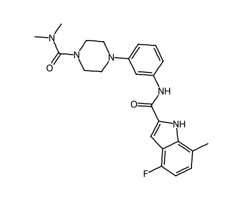 Cc1ccc(F)c2cc(C(=O)Nc3cccc(N4CCN(C(=O)N(C)C)CC4)c3)[nH]c12